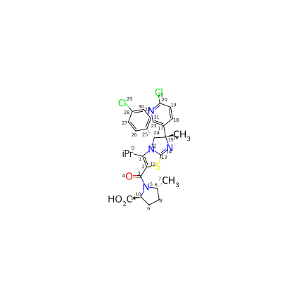 CC(C)C1=C(C(=O)N2[C@H](C)CC[C@H]2C(=O)O)SC2=N[C@@](C)(c3ccc(Cl)nc3)[C@@H](c3ccc(Cl)cc3)N21